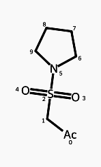 CC(=O)CS(=O)(=O)N1CCCC1